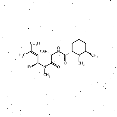 C/C(=C\[C@H](C(C)C)N(C)C(=O)[C@@H](NC(=O)[C@@H]1CCC[C@@H](C)N1C)C(C)(C)C)C(=O)O